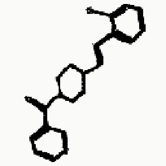 O=C(c1cccnc1)N1CCC(/C=C/c2ccccc2Cl)CC1